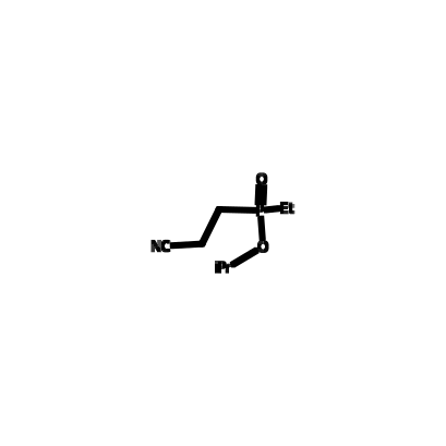 CCP(=O)(CCC#N)OC(C)C